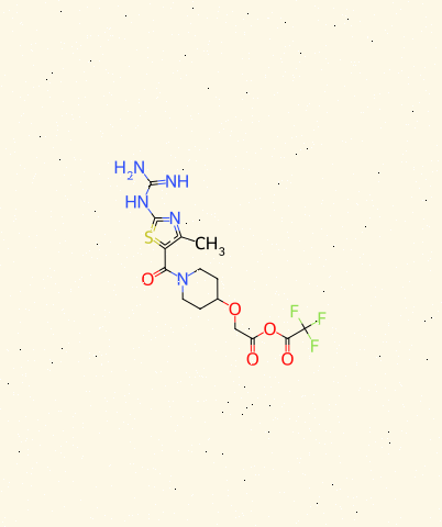 Cc1nc(NC(=N)N)sc1C(=O)N1CCC(OCC(=O)OC(=O)C(F)(F)F)CC1